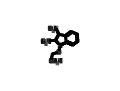 O=C(O)CON1c2ccccc2C([N+](=O)[O-])C1[N+](=O)[O-]